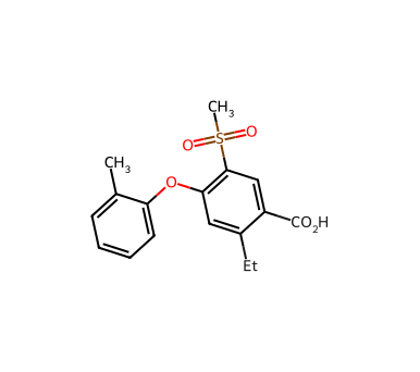 CCc1cc(Oc2ccccc2C)c(S(C)(=O)=O)cc1C(=O)O